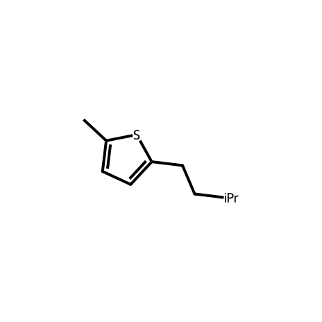 Cc1ccc(CCC(C)C)s1